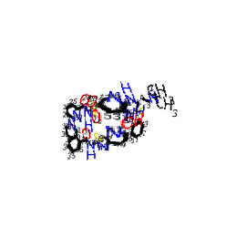 CN(C)CC[C@H](CSc1ccccc1)Nc1ncc(S(=O)(=O)NC(=O)c2cccc(N3CCc4cccc(C(=O)Nc5nc6cccnc6s5)c4C3)n2)cc1NO